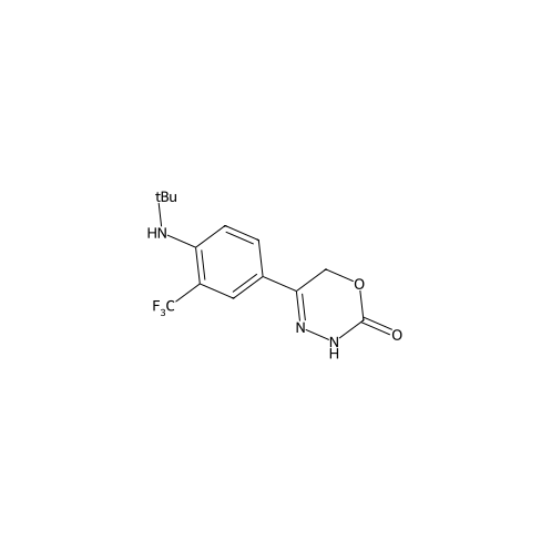 CC(C)(C)Nc1ccc(C2=NNC(=O)OC2)cc1C(F)(F)F